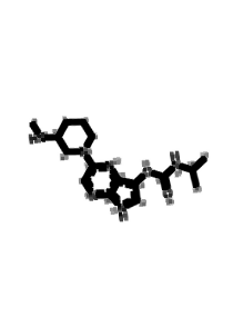 CNC1CCCN(c2cnc3[nH]cc(OC(=O)NC(C)C)c3n2)C1